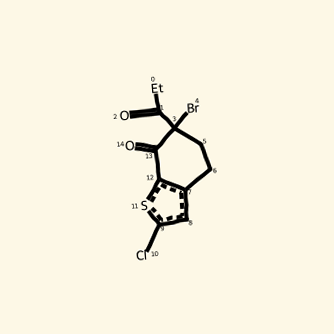 CCC(=O)C1(Br)CCc2cc(Cl)sc2C1=O